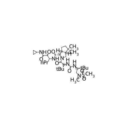 CCCC(NC(=O)[C@@H]1[C@H]2CCC(C)(C)[C@H]2CN1C(=O)[C@@H](NC(=O)N[C@H](CN(C)S(C)(=O)=O)C(C)(C)C)C(C)(C)C)C(=O)C(=O)NC1CC1